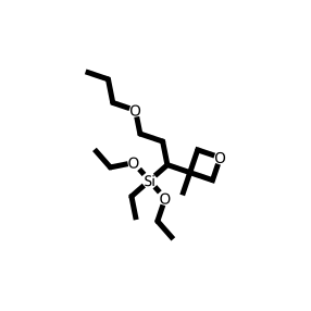 CCCOCCC(C1(C)COC1)[Si](CC)(OCC)OCC